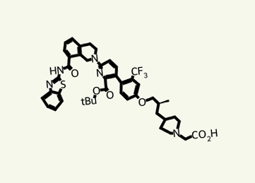 C[C@H](COc1ccc(-c2ccc(N3CCc4cccc(C(=O)Nc5nc6ccccc6s5)c4C3)nc2C(=O)OC(C)(C)C)c(C(F)(F)F)c1)CC1CCN(CC(=O)O)CC1